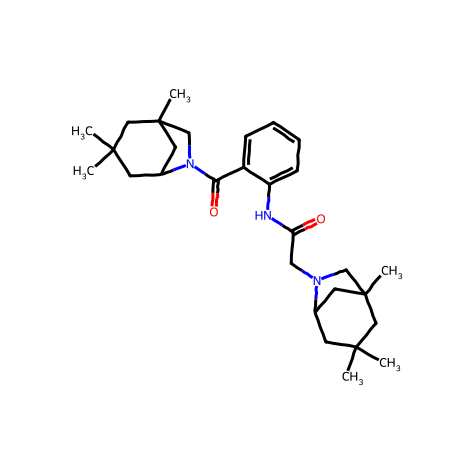 CC1(C)CC2CC(C)(CN2CC(=O)Nc2ccccc2C(=O)N2CC3(C)CC2CC(C)(C)C3)C1